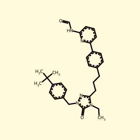 CCn1c(CCCc2ccc(-c3cccc(NC=O)n3)cc2)nn(Cc2ccc(C(C)(C)C)cc2)c1=O